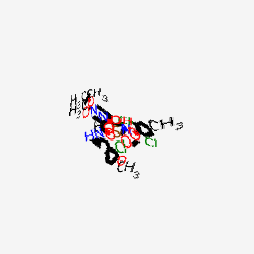 COc1cccc(CC2(NC(=O)C3=C(c4cnc(OCCOc5c(Cl)cc(C)cc5Cl)s4)CC4CN(C(=O)OC(C)(C)C)C[C@H]3N4C(=O)O)CC2)c1Cl